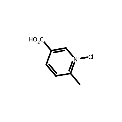 Cc1ccc(C(=O)O)c[n+]1Cl